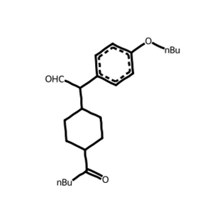 CCCCOc1ccc(C(C=O)C2CCC(C(=O)CCCC)CC2)cc1